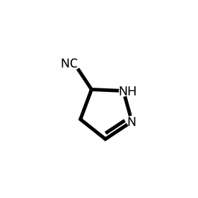 N#CC1CC=NN1